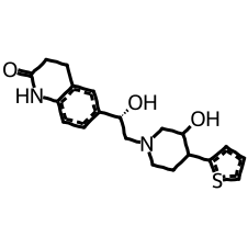 O=C1CCc2cc([C@H](O)CN3CCC(c4cccs4)C(O)C3)ccc2N1